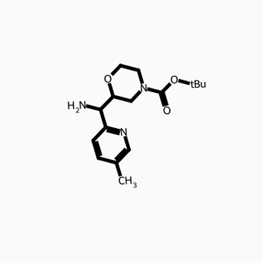 Cc1ccc(C(N)C2CN(C(=O)OC(C)(C)C)CCO2)nc1